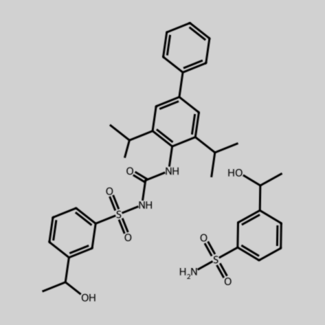 CC(C)c1cc(-c2ccccc2)cc(C(C)C)c1NC(=O)NS(=O)(=O)c1cccc(C(C)O)c1.CC(O)c1cccc(S(N)(=O)=O)c1